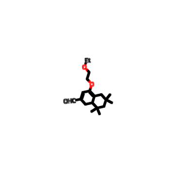 CCOCCOC1=C2CC(C)(C)CC(C)(C)C2CC(C=O)=C1